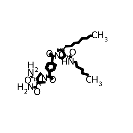 CCCCCCCC[C@@H]1CN(C(=O)c2ccc(C(=O)N3C[C@@H](C(N)=O)[C@H](C(N)=O)C3)cc2)C[C@H]1C(=O)NCCCCCC